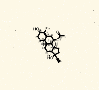 C#CC1(O)CC[C@H]2[C@@H]3C(OC(C)=O)CC4=C(F)C(O)CC[C@]4(C)[C@@H]3CC[C@@]21C